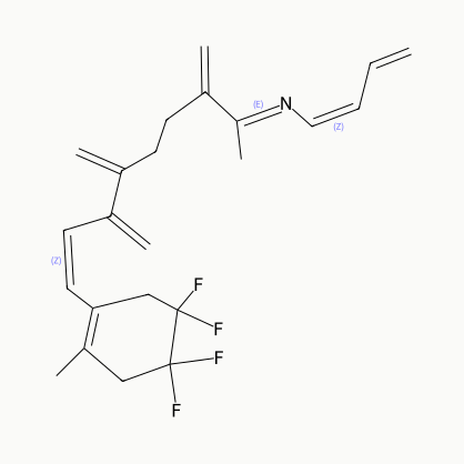 C=C/C=C\N=C(/C)C(=C)CCC(=C)C(=C)/C=C\C1=C(C)CC(F)(F)C(F)(F)C1